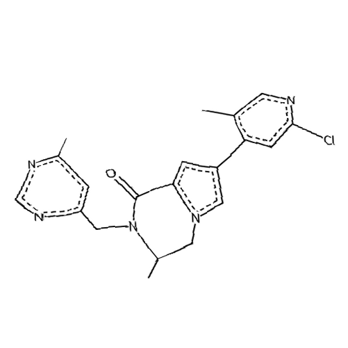 Cc1cc(CN2C(=O)c3cc(-c4cc(Cl)ncc4C)cn3CC2C)ncn1